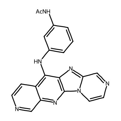 CC(=O)Nc1cccc(Nc2c3ccncc3nc3c2nc2cnccn23)c1